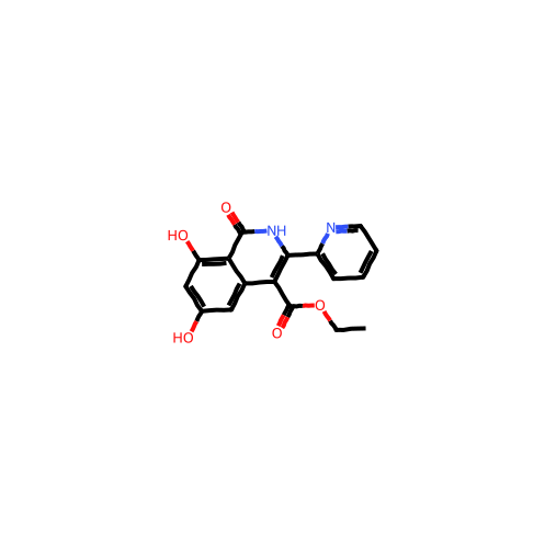 CCOC(=O)c1c(-c2ccccn2)[nH]c(=O)c2c(O)cc(O)cc12